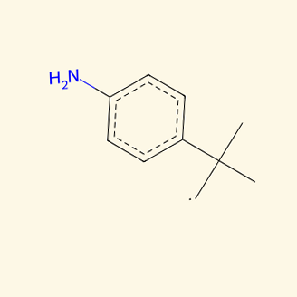 [CH2]C(C)(C)c1ccc(N)cc1